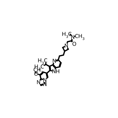 COc1cc(-c2[nH]c3ccc(CCC4CN(CC(=O)N(C)C)C4)nc3c2C(C)C)cn2ncnc12